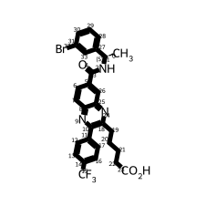 C[C@H](NC(=O)c1ccc2nc(-c3ccc(C(F)(F)F)cc3)c(CCCCC(=O)O)nc2c1)c1cccc(Br)c1